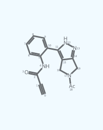 C#CC(=O)Nc1ccccc1-c1[nH]nc2c1CN(C(C)=O)C2